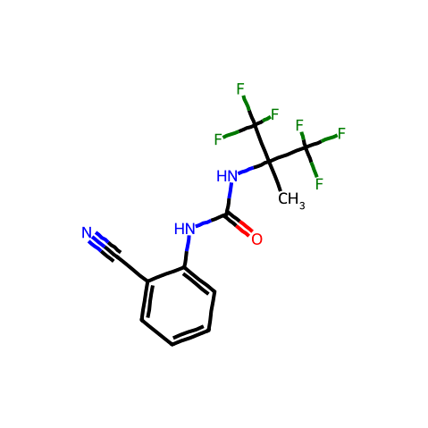 CC(NC(=O)Nc1ccccc1C#N)(C(F)(F)F)C(F)(F)F